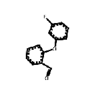 O=Cc1ccccc1Oc1cccc(F)c1